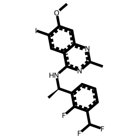 COc1cc2nc(C)nc(N[C@H](C)c3cccc(C(F)F)c3F)c2cc1I